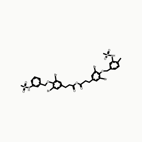 Cc1ccc(COc2c(Br)cc(CCC(=O)OC(=O)CCc3cc(Br)c(OCc4cccc(NS(C)(=O)=O)c4)c(Br)c3)cc2Br)cc1NS(C)(=O)=O